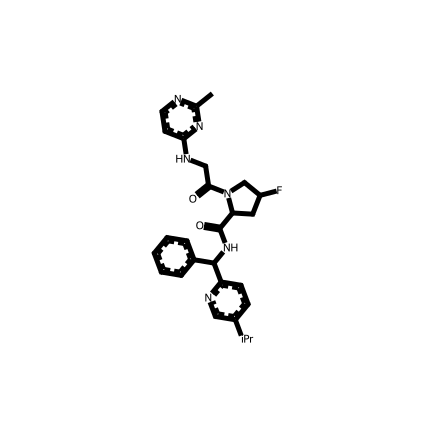 Cc1nccc(NCC(=O)N2CC(F)CC2C(=O)NC(c2ccccc2)c2ccc(C(C)C)cn2)n1